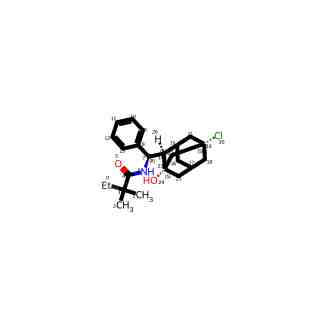 CCC(C)(C)C(=O)N[C@@H](c1ccccc1)[C@H]1C2CC3C[C@](Cl)(C2)C[C@@]1(O)C3